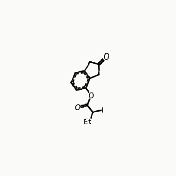 CCC(I)C(=O)Oc1cccc2c1CC(=O)C2